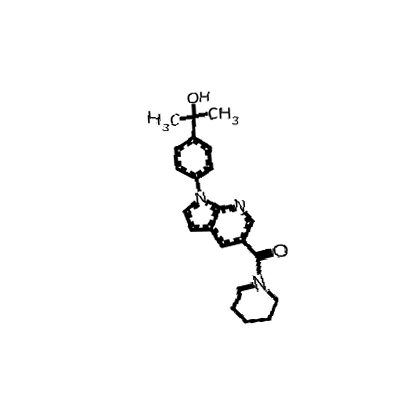 CC(C)(O)c1ccc(-n2ccc3cc(C(=O)N4CCCCC4)cnc32)cc1